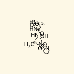 CC(C)C[C@H](NC(=O)OC(C)(C)C)C(=O)NC1C[C@H](C)CN(S(=O)(=O)c2ccccn2)CC1O